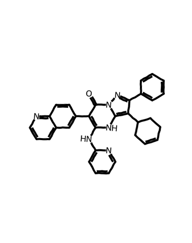 O=c1c(-c2ccc3ncccc3c2)c(Nc2ccccn2)[nH]c2c(C3CC=CCC3)c(-c3ccccc3)nn12